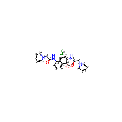 O=C(C[n+]1ccccc1)Nc1ccc2c(NC(=O)C[n+]3ccccc3)cccc2c1O.[Cl-].[Cl-]